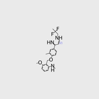 CNc1cccc(OC)c1COc1ccc(C(=N)/C=C\NCC(C)(F)F)cc1C